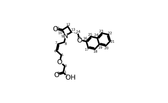 O=C(O)COC/C=C\CN1C(=O)C[C@@H]1COc1ccc2ccccc2c1